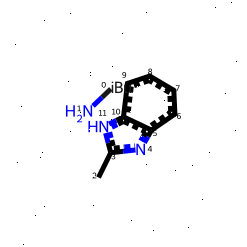 CCC(C)N.Cc1nc2ccccc2[nH]1